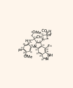 COCC(C)(C)c1c(C2CC(F)(C(=O)O)C2)c2c(F)c3[nH]ncc3cc2n1-c1ccc(F)c(OC)c1